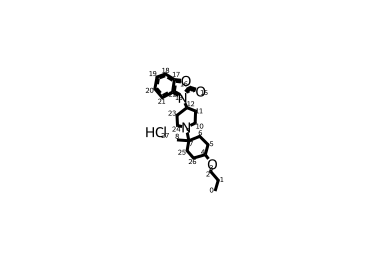 CCCOC1CCC(C)(N2CCC(n3c(=O)oc4ccccc43)CC2)CC1.Cl